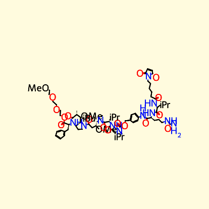 CC[C@H](C)[C@@H](C(CC(=O)N1CCC[C@H]1[C@H](OC)[C@@H](C)C(=O)N[C@@H](Cc1ccccc1)C(=O)OCCOCCOCCOC)OC)N(C)C(=O)[C@@H](NC(=O)[C@H](C(C)C)N(C)C(=O)OCc1ccc(NC(=O)[C@H](CCCNC(N)=O)NC(=O)C(NC(=O)CCCCCN2C(=O)C=CC2=O)C(C)C)cc1)C(C)C